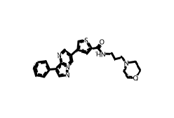 O=C(NCCCN1CCOCC1)c1cc(-c2cnc3c(-c4ccccc4)cnn3c2)cs1